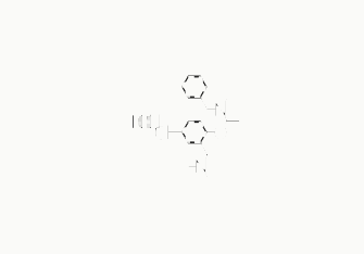 CC(Oc1ccc(Cl)cc1CN(C)C)N(C)Cc1ccccc1.Cl.Cl